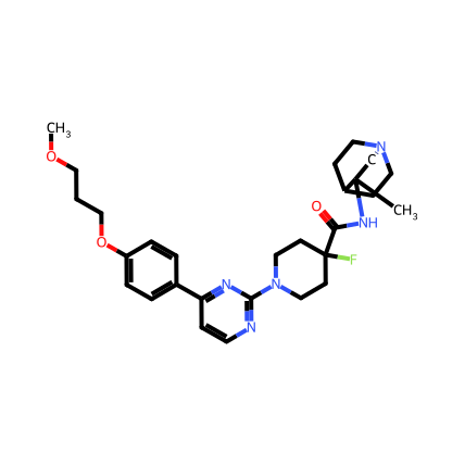 COCCCOc1ccc(-c2ccnc(N3CCC(F)(C(=O)NC4(C)CN5CCC4CC5)CC3)n2)cc1